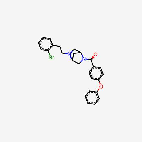 O=C(c1ccc(Oc2ccccc2)cc1)N1CC2CC1CN2CCc1ccccc1Br